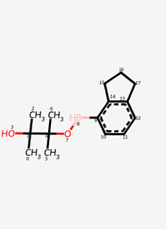 CC(C)(O)C(C)(C)OBc1cccc2c1CCC2